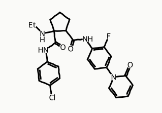 CCNC1(C(=O)Nc2ccc(Cl)cc2)CCCC1C(=O)Nc1ccc(-n2ccccc2=O)cc1F